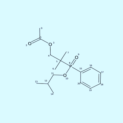 CC(=O)OCC(C)(C)P(=O)(OCC(C)C)c1ccccc1